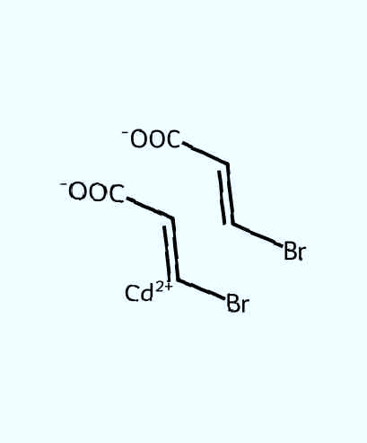 O=C([O-])C=CBr.O=C([O-])C=CBr.[Cd+2]